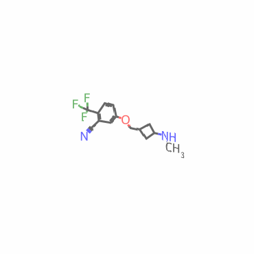 CNC1CC(COc2ccc(C(F)(F)F)c(C#N)c2)C1